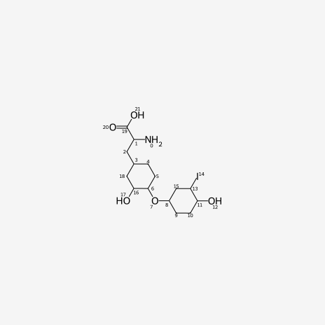 NC(CC1CCC(OC2CCC(O)C(I)C2)C(O)C1)C(=O)O